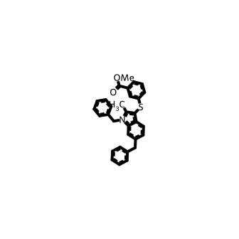 COC(=O)c1cccc(Sc2c(C)n(Cc3ccccc3)c3cc(Cc4ccccc4)ccc23)c1